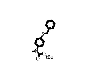 CN(C(=O)OC(C)(C)C)c1ccc(SCc2ccccc2)cc1